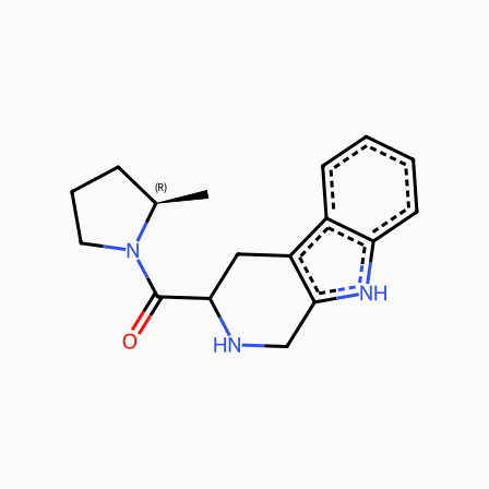 C[C@@H]1CCCN1C(=O)C1Cc2c([nH]c3ccccc23)CN1